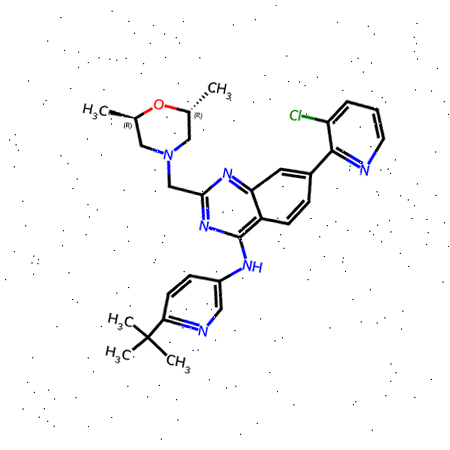 C[C@@H]1CN(Cc2nc(Nc3ccc(C(C)(C)C)nc3)c3ccc(-c4ncccc4Cl)cc3n2)C[C@@H](C)O1